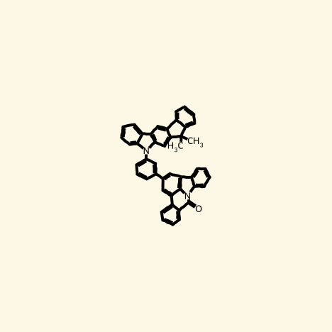 CC1(C)c2ccccc2-c2cc3c4ccccc4n(-c4cccc(-c5cc6c7ccccc7c(=O)n7c8ccccc8c(c5)c67)c4)c3cc21